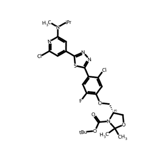 CC(C)N(C)c1cc(-c2nnc(-c3cc(F)c(OC[C@@H]4COC(C)(C)N4C(=O)OC(C)(C)C)cc3Cl)s2)cc(Cl)n1